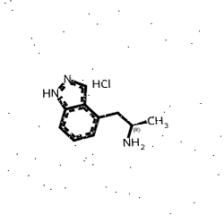 C[C@@H](N)Cc1cccc2[nH]ncc12.Cl